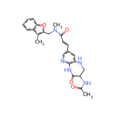 CC(=O)NC1CNc2cc(/C=C/C(=O)N(C)Cc3oc4ccccc4c3C)cnc2NC1=O